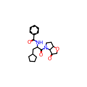 O=C(NC(CC1CCCC1)C(=O)N1CCC2OCC(=O)C21)c1ccccc1